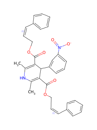 CC1=C(C(=O)OC/C=C\c2ccccc2)C(c2cccc([N+](=O)[O-])c2)C(C(=O)OC/C=C\c2ccccc2)=C(C)N1